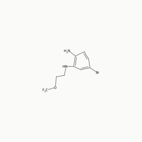 Nc1ccc(Br)cc1NCCOC(F)(F)F